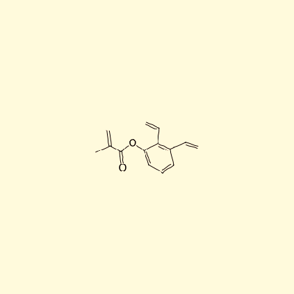 C=Cc1cccc(OC(=O)C(=C)C)c1C=C